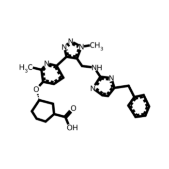 Cc1nc(-c2nnn(C)c2CNc2nccc(Cc3ccccc3)n2)ccc1O[C@H]1CCCC(C(=O)O)C1